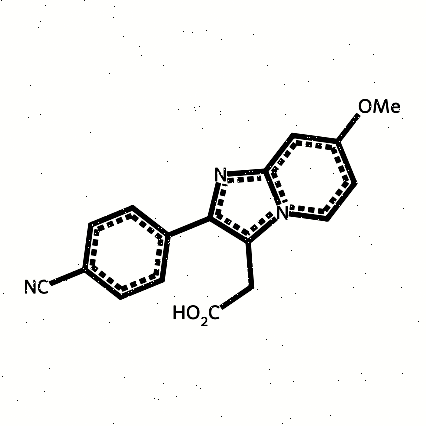 COc1ccn2c(CC(=O)O)c(-c3ccc(C#N)cc3)nc2c1